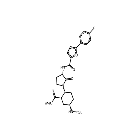 COC(=O)[C@@H]1C[C@H](NC(C)(C)C)CC[C@@H]1N1CC[C@H](NC(=O)c2ccc(-c3ccc(F)cc3)o2)C1=O